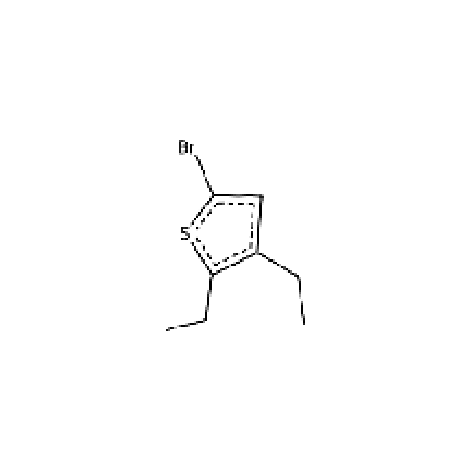 CCc1cc(Br)sc1CC